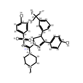 CN1CCN(/C(=N/S(=O)(=O)c2ccc(Cl)cc2)N2CC(c3cccc(C(F)(F)F)c3)C(c3ccc(Cl)cc3)=N2)CC1